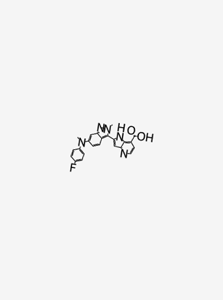 CN(c1ccc(F)cc1)c1ccc2c(-c3cc4nccc(C(=O)O)c4[nH]3)n(C)nc2c1